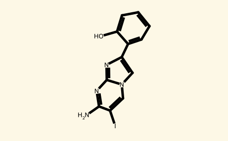 Nc1nc2nc(-c3ccccc3O)cn2cc1I